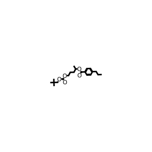 CCCc1ccc(C(=O)OC(C)CCCOC(=O)OCC(C)(C)C)cc1